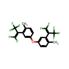 Cc1ccc(Oc2ccc(C)c(C(=C(F)F)C(F)(F)F)c2)cc1C(=C(F)F)C(F)(F)F